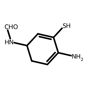 NC1=CCC(NC=O)C=C1S